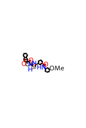 COc1cccc(NC(=O)c2cccc(-c3csc(NC(=O)C4(C)CC5C(=O)CC4c4ccccc45)n3)c2)c1